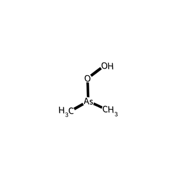 C[As](C)OO